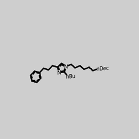 CCCCCCCCCCCCCCCCn1cc(CCCc2ccccc2)nc1CCCC